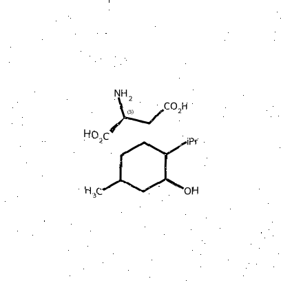 CC1CCC(C(C)C)C(O)C1.N[C@@H](CC(=O)O)C(=O)O